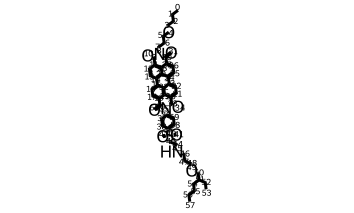 CCCCOCCCN1C(=O)c2ccc3c4ccc5c6c(ccc(c7ccc(c2c37)C1=O)c64)C(=O)N(c1ccc(S(=O)(=O)CCNCCCOCC(CC)CCCC)cc1)C5=O